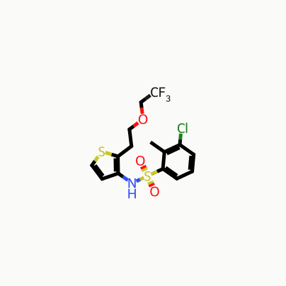 Cc1c(Cl)cccc1S(=O)(=O)Nc1ccsc1CCOCC(F)(F)F